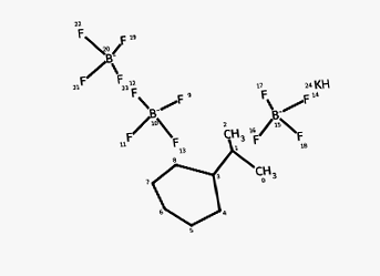 CC(C)C1CCCCC1.F[B-](F)(F)F.F[B-](F)(F)F.F[B-](F)(F)F.[KH]